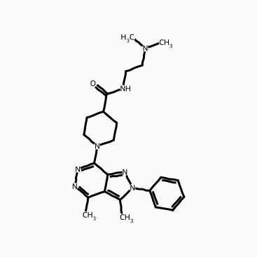 Cc1nnc(N2CCC(C(=O)NCCN(C)C)CC2)c2nn(-c3ccccc3)c(C)c12